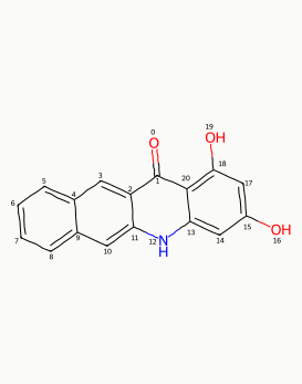 O=c1c2cc3ccccc3cc2[nH]c2cc(O)cc(O)c12